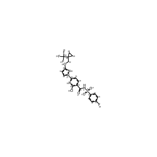 O=C(NS(=O)(=O)c1ccc(F)cc1)c1ccc(-n2ccc(OCC3(C(F)(F)F)CC3)n2)nc1Cl